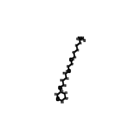 NCCCCCOCCOCCCCOC1CCCOC1